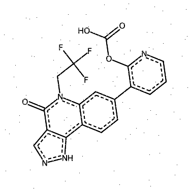 O=C(O)Oc1ncccc1-c1ccc2c3[nH]ncc3c(=O)n(CC(F)(F)F)c2c1